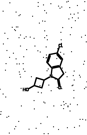 O=C1Cc2cc(Cl)ccc2N1C1CC(O)C1